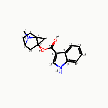 CN1C2CCC13CC3(OC(=O)c1c[nH]c3ccccc13)C2